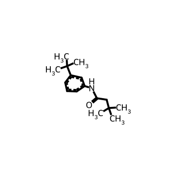 CC(C)(C)CC(=O)Nc1cccc(C(C)(C)C)c1